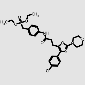 CCOP(=O)(Cc1ccc(NC(=O)CCc2oc(N3CCOCC3)nc2-c2ccc(Cl)cc2)cc1)OCC